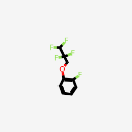 Fc1ccc[c]c1OCC(F)(F)C(F)F